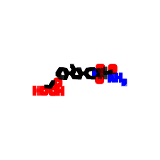 Cc1cc(C2CCN(S(=O)(=O)C(C)(C)C(N)=O)CC2)ccc1-c1cccc(OC[C@@H](O)CO)c1